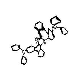 c1ccc(N(c2ccccc2)c2ccc3c(c2)c2ccccc2c2nc4c5ccc(N(c6ccccc6)c6ccccc6)cc5c5ccccc5c4nc32)cc1